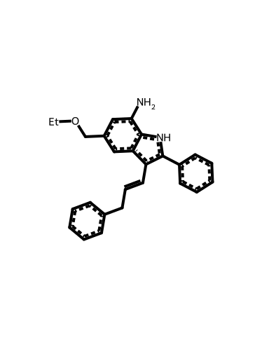 CCOCc1cc(N)c2[nH]c(-c3ccccc3)c(/C=C/Cc3ccccc3)c2c1